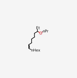 CCCCCC/C=C\CCCCC(CC)OCCC